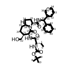 CC[C@H](NC(=O)OC(C)(C)C)C(=O)N[C@@H]1C(=O)N2[C@@H](CC[C@@H]1CO)CC[C@H]2C(=O)NC(c1ccccc1)c1ccccc1